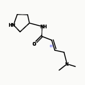 CN(C)C/C=C/C(=O)NC1CCNC1